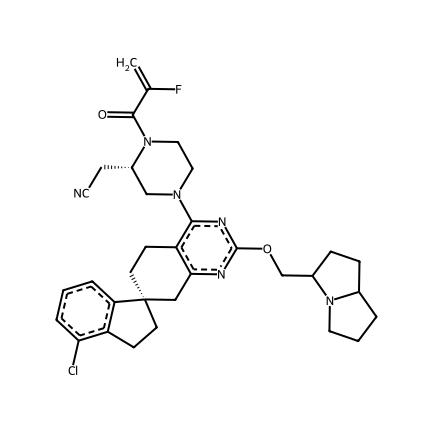 C=C(F)C(=O)N1CCN(c2nc(OCC3CCC4CCCN43)nc3c2CC[C@@]2(CCc4c(Cl)cccc42)C3)C[C@@H]1CC#N